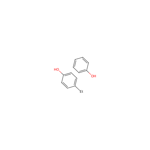 CCc1ccc(O)cc1.Oc1ccccc1